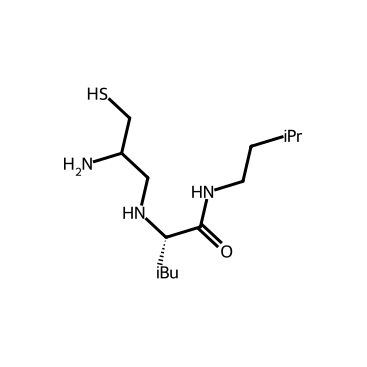 CCC(C)[C@H](NCC(N)CS)C(=O)NCCC(C)C